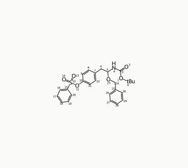 CC(C)(C)OC(=O)NC(Cc1ccc(OS(=O)(=O)c2ccccc2)cc1)OCc1ccccc1